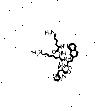 NCCCCCC(NC(=O)C(N)CCCCN)C(=O)NC(Cc1ccc2ccccc2c1)C(=O)NC(Cc1cccs1)C(N)=O